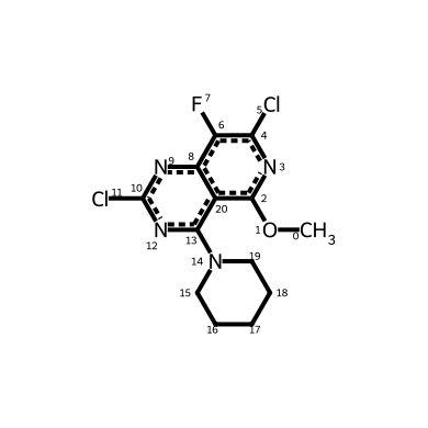 COc1nc(Cl)c(F)c2nc(Cl)nc(N3CCCCC3)c12